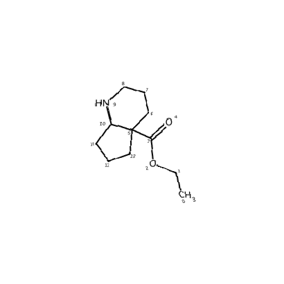 CCOC(=O)C12CCCNC1CCC2